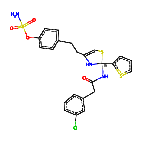 NS(=O)(=O)Oc1ccc(CCC2=CS[C@@](NC(=O)Cc3cccc(Cl)c3)(c3cccs3)N2)cc1